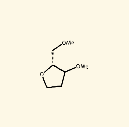 COC[C@H]1OCCC1OC